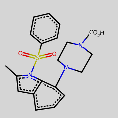 Cc1cc2cccc(N3CCN(C(=O)O)CC3)c2n1S(=O)(=O)c1ccccc1